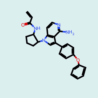 C=CC(=O)NC1CCCC1n1cc(-c2ccc(Oc3ccccc3)cc2)c2c(N)nccc21